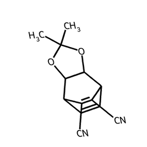 CC1(C)OC2C3C=CC(C(C#N)=C3C#N)C2O1